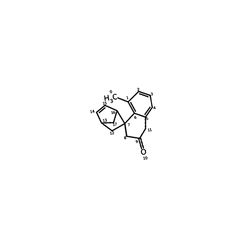 Cc1cccc2c1C1(CC(=O)C2)CC2C=CC1C2